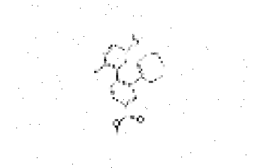 COC(=O)c1ccc(-c2cc(OC)ccc2F)c(C2=CCCCCC2)c1